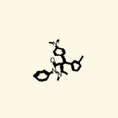 Cc1cccc(C(=C2C=CC(=[N+](C)C)C=C2)c2c(C)n(C)n(-c3ccccc3)c2=O)c1